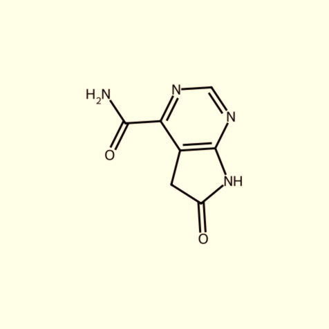 NC(=O)c1ncnc2c1CC(=O)N2